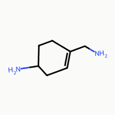 NCC1=CCC(N)CC1